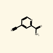 N#Cc1ccnc(C(N)=O)c1